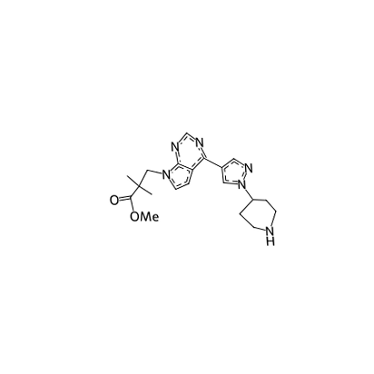 COC(=O)C(C)(C)Cn1ccc2c(-c3cnn(C4CCNCC4)c3)ncnc21